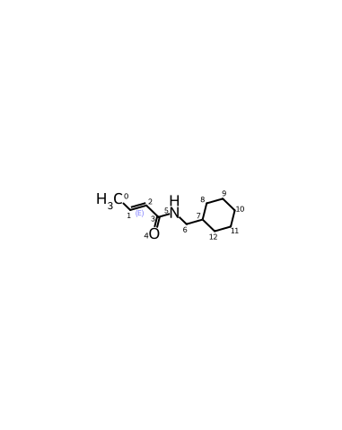 C/C=C/C(=O)NCC1CCCCC1